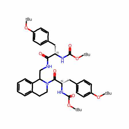 CC(C)(C)OC(=O)N[C@@H](Cc1ccc(OC(C)(C)C)cc1)C(=O)NCC1c2ccccc2CCN1C(=O)[C@H](Cc1ccc(OC(C)(C)C)cc1)NC(=O)OC(C)(C)C